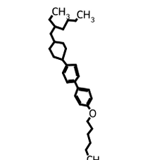 CCCCCCOc1ccc(-c2ccc(C3CCC(CC(CC)CCCC)CC3)cc2)cc1